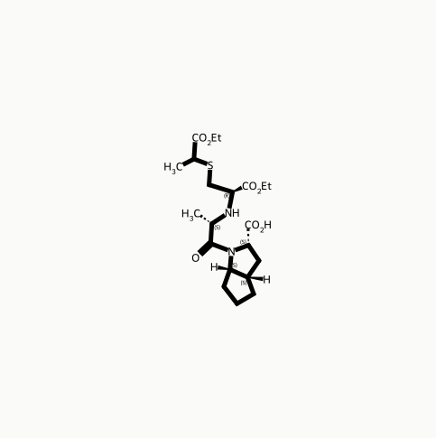 CCOC(=O)C(C)SC[C@H](N[C@@H](C)C(=O)N1[C@H](C(=O)O)C[C@@H]2CCC[C@@H]21)C(=O)OCC